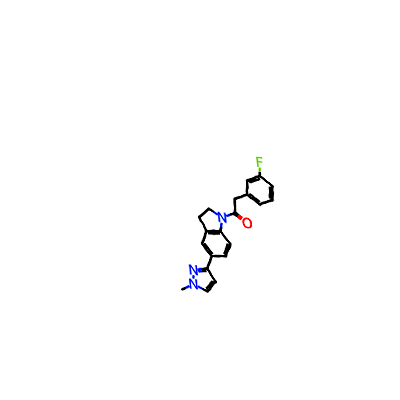 Cn1ccc(-c2ccc3c(c2)CCN3C(=O)Cc2cccc(F)c2)n1